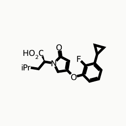 CC(C)C[C@@H](C(=O)O)N1CC(Oc2cccc(C3CC3)c2F)=CC1=O